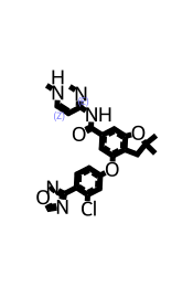 C/N=C(\C=C/NC)NC(=O)c1cc(Oc2ccc(-c3ncon3)c(Cl)c2)c2c(c1)OC(C)(C)C2